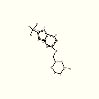 CN1CCOC(COc2ccc3oc(C(C)(C)C)cc3c2)C1